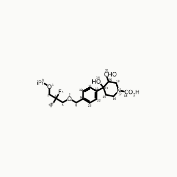 CC(C)OCC(F)(F)COCc1ccc(C2(O)CCN(C(=O)O)CC2C=O)cc1